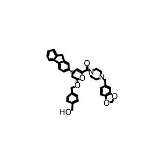 O=C(C1=C[C@H](c2ccc3c(c2)Cc2ccccc2-3)C[C@H](OCc2ccc(CO)cc2)O1)N1CCN(Cc2ccc3c(c2)OCO3)CC1